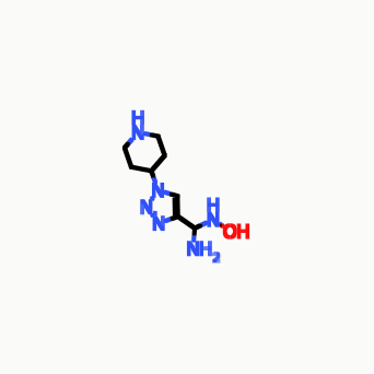 NC(NO)c1cn(C2CCNCC2)nn1